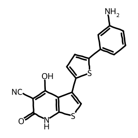 N#Cc1c(O)c2c(-c3ccc(-c4cccc(N)c4)s3)csc2[nH]c1=O